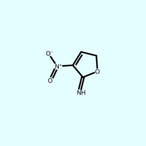 N=C1OCC=C1[N+](=O)[O-]